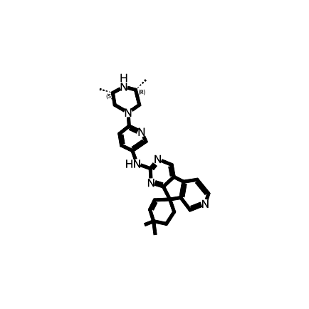 C[C@@H]1CN(c2ccc(Nc3ncc4c(n3)C3(C=CC(C)(C)CC3)c3cnccc3-4)cn2)C[C@H](C)N1